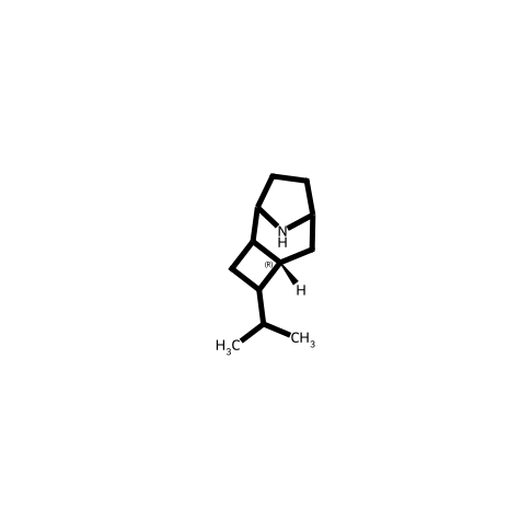 CC(C)C1CC2C3CCC(C[C@H]12)N3